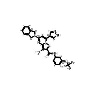 Cc1c(C(=O)Nc2cccc(OC(F)(F)F)c2)nn2c(-c3cn[nH]c3)cc(N3Cc4ccccc4C3)nc12